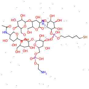 CC(=O)NC1[C@H](O[C@@H]2C(CO[C@H]3OC(CO)[C@@H](O)[C@H](O)C3O[C@H]3OC(COP(=O)(O)OCCN)[C@@H](O)[C@H](O)C3O)O[C@H](O[C@@H]3C(CO)O[C@H](O[C@@H]4C(O)C(O)[C@@H](O)C(O)[C@H]4OP(=O)(O)OCCCCCCS)C(N)[C@H]3O)C(O)[C@H]2O)OC(CO)[C@H](O)[C@@H]1O